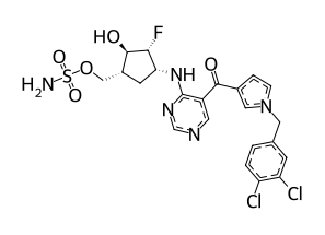 NS(=O)(=O)OC[C@H]1C[C@@H](Nc2ncncc2C(=O)c2ccn(Cc3ccc(Cl)c(Cl)c3)c2)[C@@H](F)[C@@H]1O